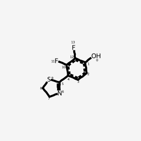 Oc1ccc(C2=NCCS2)c(F)c1F